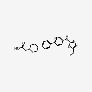 O=C(O)C[C@H]1CC[C@H](c2ccc(-c3ccc(Nc4nnc(CF)o4)cn3)cc2)CC1